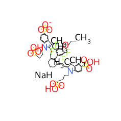 CCCCOc1c(F)c(F)c(C2=C(C=CC3=[N+](CCCCS(=O)(=O)O)c4ccc(S(=O)(=O)[O-])cc4C3(C)C)CCCC2=CC=C2N(CCCCS(=O)(=O)O)c3ccc(S(=O)(=O)O)cc3C2(C)C)c(F)c1F.[NaH]